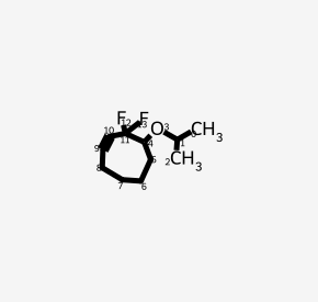 CC(C)OC1CCCCC#CC1(F)F